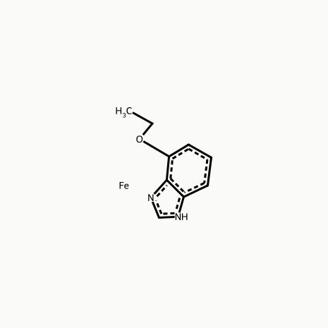 CCOc1cccc2[nH]cnc12.[Fe]